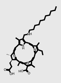 CCCCCCCCCCCNCc1c(C)c2cc3nc(c(C)c4[nH]c(cc5nc(cc1[nH]2)C(C)=C5CC)c(C)c4C(=O)O)[C@@H](CCC(=O)O)[C@@H]3C